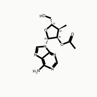 CC(=O)O[C@@H]1[C@H](C)[C@@H](CO)O[C@H]1n1cnc2c(N)ncnc21